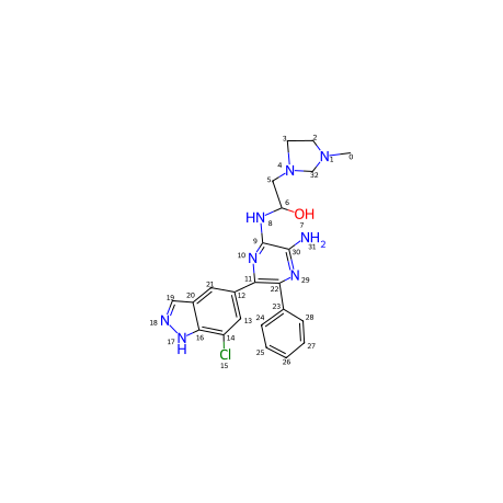 CN1CCN(CC(O)Nc2nc(-c3cc(Cl)c4[nH]ncc4c3)c(-c3ccccc3)nc2N)C1